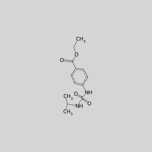 CCOC(=O)c1ccc(NS(=O)(=O)NC(C)C)cc1